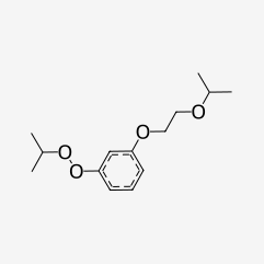 CC(C)OCCOc1cccc(OOC(C)C)c1